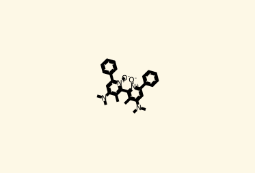 Cc1c(N(C)C)cc(-c2ccccc2)[n+]([O-])c1-c1c(C)c(N(C)C)cc(-c2ccccc2)[n+]1[O-]